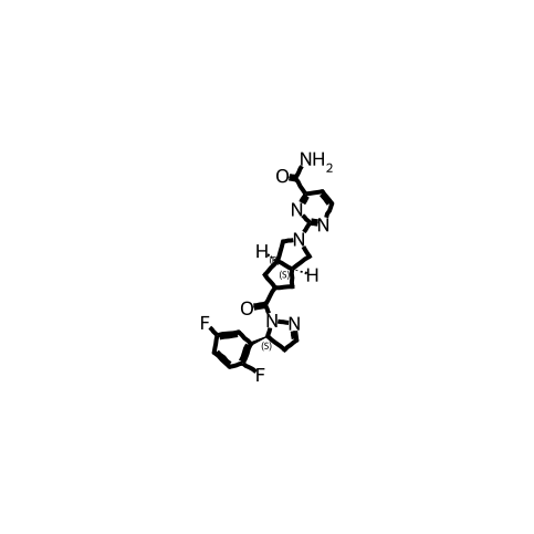 NC(=O)c1ccnc(N2C[C@H]3CC(C(=O)N4N=CC[C@H]4c4cc(F)ccc4F)C[C@H]3C2)n1